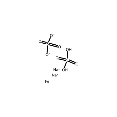 O=S(=O)(O)O.O=S(=O)([O-])[O-].[Fe].[Na+].[Na+]